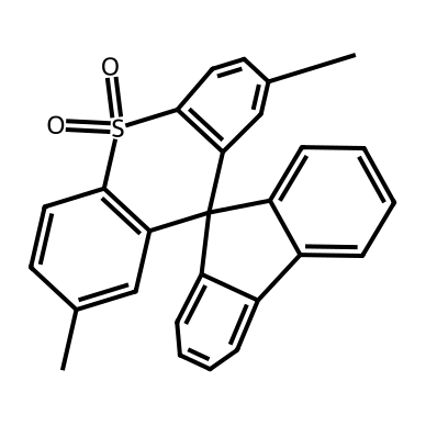 Cc1ccc2c(c1)C1(c3ccccc3-c3ccccc31)c1cc(C)ccc1S2(=O)=O